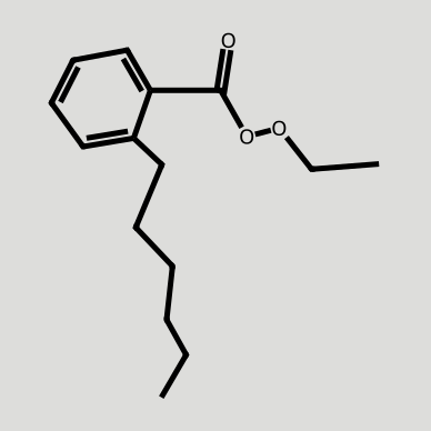 CCCCCCc1ccccc1C(=O)OOCC